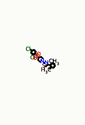 Cc1cccc(C)c1-c1csc(N2CCC(S(=O)(=O)c3ccc(Cl)cc3Cl)CC2)n1